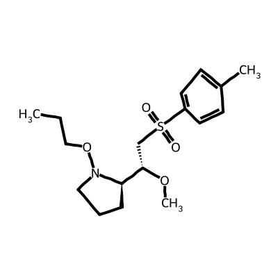 CCCON1CCC[C@@H]1[C@H](CS(=O)(=O)c1ccc(C)cc1)OC